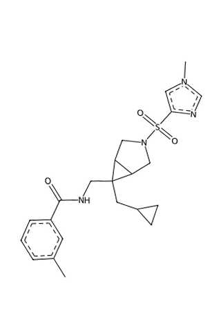 Cc1cccc(C(=O)NCC2(CC3CC3)C3CN(S(=O)(=O)c4cn(C)cn4)CC32)c1